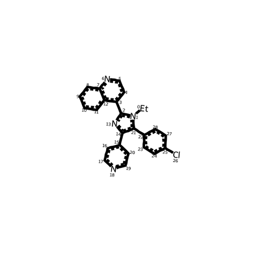 CCn1c(-c2ccnc3ccccc23)nc(-c2ccncc2)c1-c1ccc(Cl)cc1